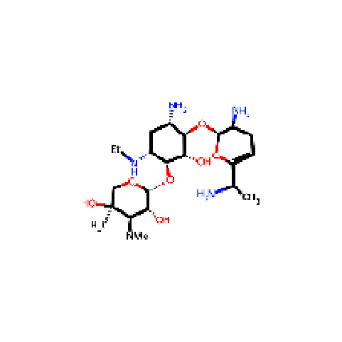 CCN[C@@H]1C[C@H](N)[C@@H](O[C@@H]2OC(C(C)N)=CC[C@@H]2N)[C@H](O)[C@H]1O[C@H]1OC[C@](C)(O)[C@H](NC)[C@H]1O